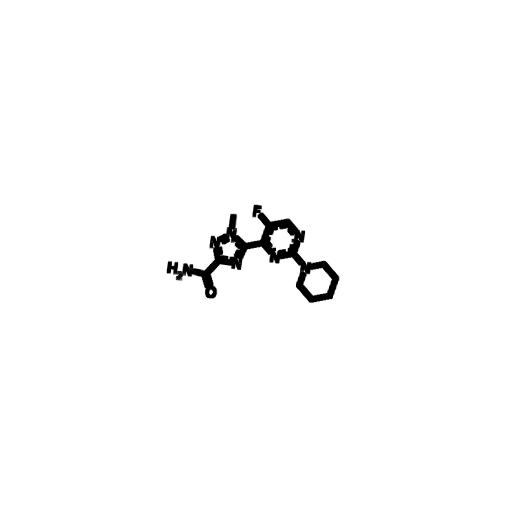 Cn1nc(C(N)=O)nc1-c1nc(N2CCCCC2)ncc1F